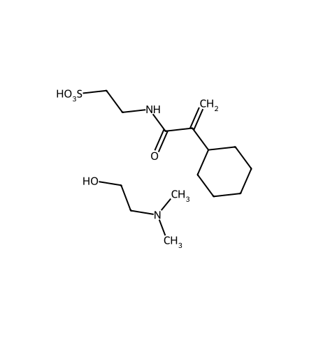 C=C(C(=O)NCCS(=O)(=O)O)C1CCCCC1.CN(C)CCO